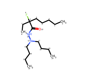 CCCCCC(F)(CC)C(=O)NN(CCCC)CCCC